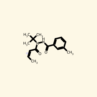 C/C=C\C(=O)N(NC(=O)c1cccc(C)c1)C(C)(C)C